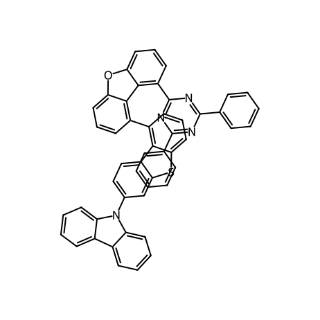 c1ccc(-c2nc(-c3ccccc3)nc(-c3cccc4oc5cccc(-c6cccc7sc8cc(-n9c%10ccccc%10c%10ccccc%109)ccc8c67)c5c34)n2)cc1